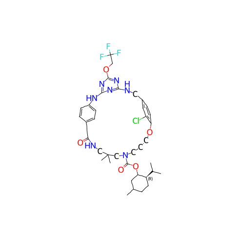 CC1CC[C@H](C(C)C)C(OC(=O)N2CCCOc3ccc(cc3Cl)CNc3nc(nc(OCC(F)(F)F)n3)Nc3ccc(cc3)C(=O)NCC(C)(C)C2)C1